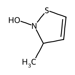 CC1C=CSN1O